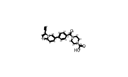 C#Cc1cnc2ccc(-c3ccc(C(=O)N4CCN(C(=O)O)CC4)cc3)cn12